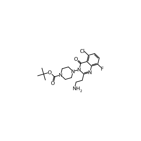 CC(C)(C)OC(=O)N1CCN(n2c(CCN)nc3c(F)ccc(Cl)c3c2=O)CC1